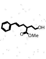 COC(=O)C(CC=Cc1ccccc1)CCO